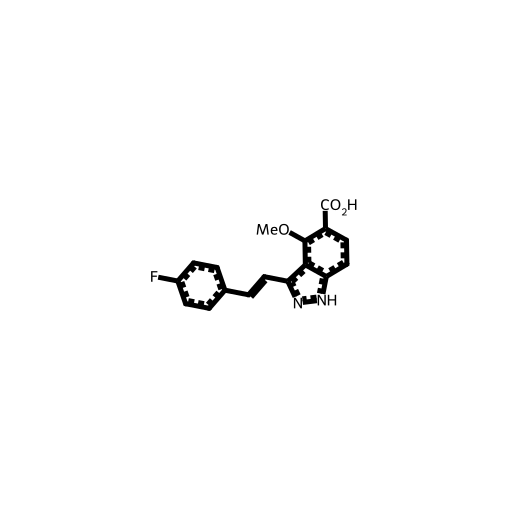 COc1c(C(=O)O)ccc2[nH]nc(C=Cc3ccc(F)cc3)c12